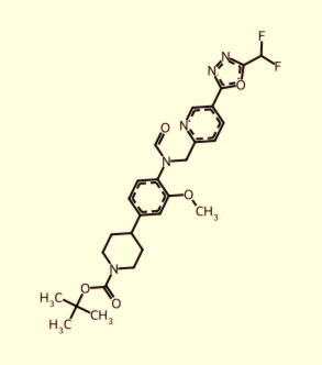 COc1cc(C2CCN(C(=O)OC(C)(C)C)CC2)ccc1N(C=O)Cc1ccc(-c2nnc(C(F)F)o2)cn1